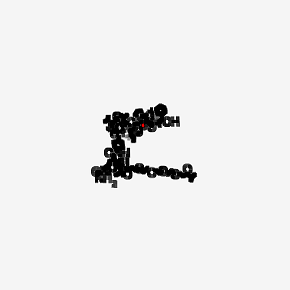 CC[C@H](C)[C@@H]([C@@H](CC(=O)N1CCC[C@H]1[C@H](OC)[C@@H](C)C(=O)N[C@H](C)[C@@H](O)c1ccccc1)OC)N(C)C(=O)[C@@H](NC(=O)[C@H](C(C)C)N(C)C(=O)OCc1ccc(NC(=O)[C@H](CCCNC(N)=O)NC(=O)[C@@H](NC(=O)CCOCCOCCOCCOCCC(=O)C(C)C)C(C)C)cc1)C(C)C